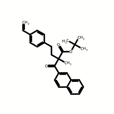 C=Cc1ccc(CCC(C)(C(=O)OC(C)(C)C)C(=O)c2ccc3ccccc3c2)cc1